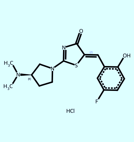 CN(C)[C@@H]1CCN(C2=NC(=O)/C(=C/c3cc(F)ccc3O)S2)C1.Cl